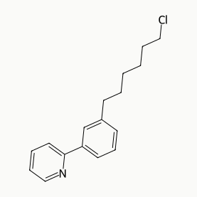 ClCCCCCCc1cccc(-c2ccccn2)c1